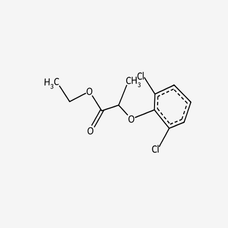 CCOC(=O)C(C)Oc1c(Cl)cccc1Cl